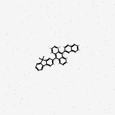 CC1(C)c2ccccc2-c2ccc(-c3c4ccccc4c(-c4ccc5ccccc5c4)c4ncccc34)cc21